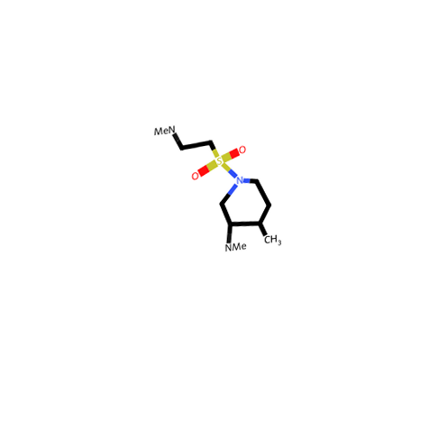 CNCCS(=O)(=O)N1CCC(C)C(NC)C1